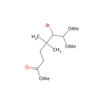 COC(=O)CCC(C)(C)C(Br)C(OC)OC